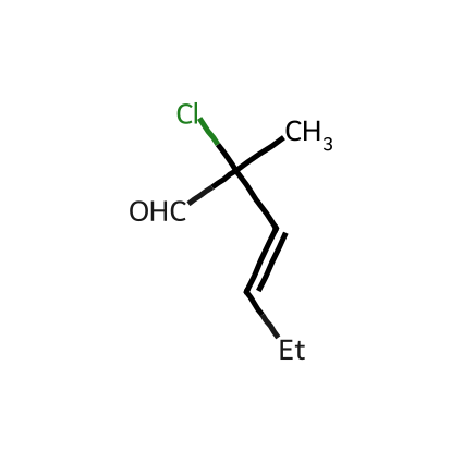 CCC=CC(C)(Cl)C=O